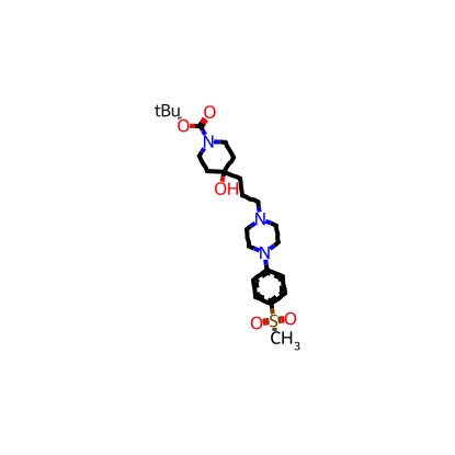 CC(C)(C)OC(=O)N1CCC(O)(CCCN2CCN(c3ccc(S(C)(=O)=O)cc3)CC2)CC1